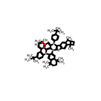 CC1c2cc3c4c(sc3cc2C2(C)CCC12)B1c2cc3c(cc2N(c2ccc(C(C)(C)C)cc2-c2ccccc2)c2cc(C(C)(C)C)cc(c21)N4c1ccc(C(C)(C)C)cc1)C(C)(C)CCC3(C)C